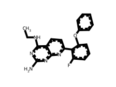 CCNc1nc(N)nc2nc(-c3c(F)cccc3Oc3ccccc3)ccc12